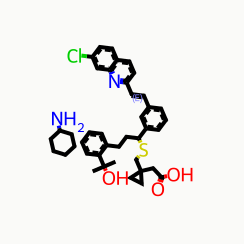 CC(C)(O)c1ccccc1CCC(SCC1(CC(=O)O)CC1)c1cccc(/C=C/c2ccc3ccc(Cl)cc3n2)c1.NC1CCCCC1